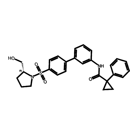 O=C(Nc1cccc(-c2ccc(S(=O)(=O)N3CCC[C@@H]3CO)cc2)c1)C1(c2ccccc2)CC1